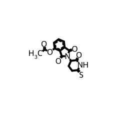 CC(=O)Oc1cccc2c1C(=O)N(C1CCC(=S)NC1=O)C2=O